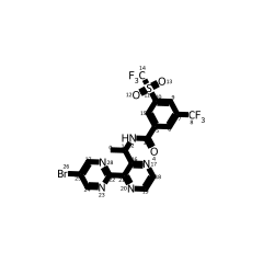 CC(NC(=O)c1cc(C(F)(F)F)cc(S(=O)(=O)C(F)(F)F)c1)c1nccnc1-c1ncc(Br)cn1